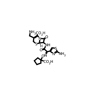 NCC1=C(C(=O)O)N2C(=O)C(NC(=O)/C(=N\OC3(C(=O)O)CCCC3)c3csc(N)n3)[C@H]2SC1